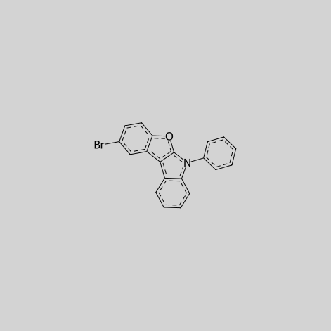 Brc1ccc2oc3c(c2c1)c1ccccc1n3-c1ccccc1